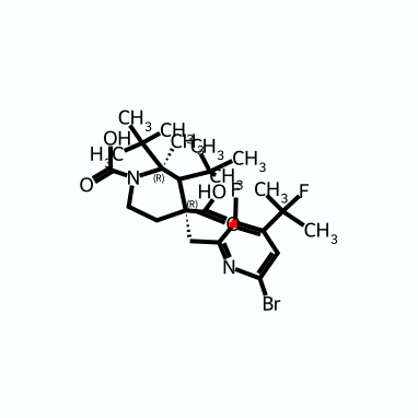 CC(C)(F)c1cc(Br)nc(C[C@]2(C(=O)O)CCN(C(=O)O)[C@@](C)(C(C)(C)C)C2C(C)(C)C)c1F